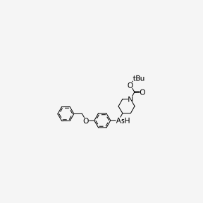 CC(C)(C)OC(=O)N1CCC([AsH]c2ccc(OCc3ccccc3)cc2)CC1